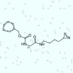 C[C@H](NC(=O)OCc1ccccc1)C(=O)NCCCCC1N=N1